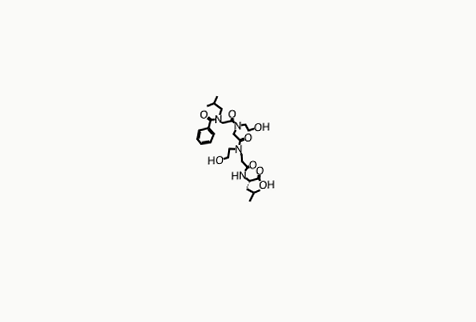 CC(C)C[C@H](NC(=O)CCN(CCO)C(=O)CN(CCO)C(=O)CN(CC(C)C)C(=O)c1ccccc1)C(=O)O